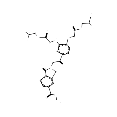 CSC(=N)c1ccc2c(c1)CN(CC(=O)c1ccc(OCC(=O)OCC(C)C)c(OCC(=O)OCC(C)C)c1)C2=O